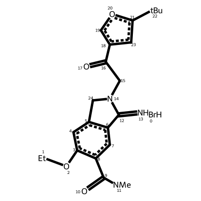 Br.CCOc1cc2c(cc1C(=O)NC)C(=N)N(CC(=O)c1coc(C(C)(C)C)c1)C2